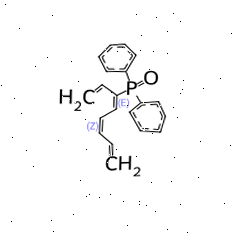 C=C/C=C\C=C(/C=C)P(=O)(c1ccccc1)c1ccccc1